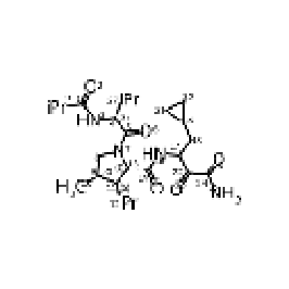 CC(C)C(=O)N[C@H](C(=O)N1C[C@H](C)[C@H](C(C)C)[C@H]1C(=O)NC(CC1CC1)C(=O)C(N)=O)C(C)C